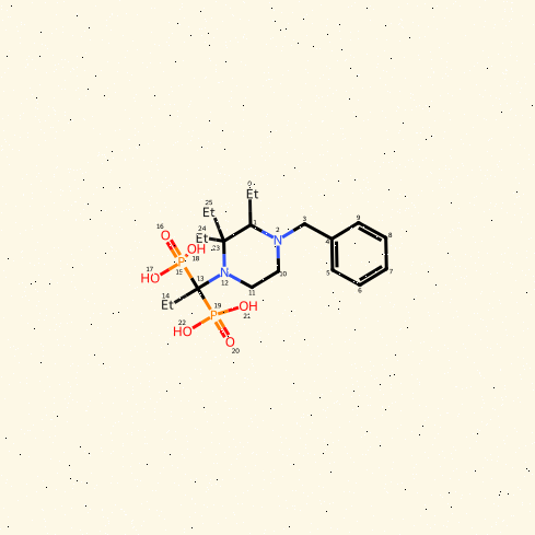 CCC1N(Cc2ccccc2)CCN(C(CC)(P(=O)(O)O)P(=O)(O)O)C1(CC)CC